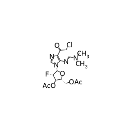 CC(=O)OC[C@H]1O[C@@H](n2cnc(C(=O)CCl)c2N=CN(C)C)[C@@H](F)[C@@H]1OC(C)=O